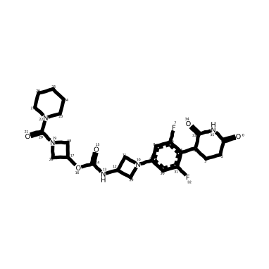 O=C1CCC(c2c(F)cc(N3CC(NC(=O)OC4CN(C(=O)N5CCCCC5)C4)C3)cc2F)C(=O)N1